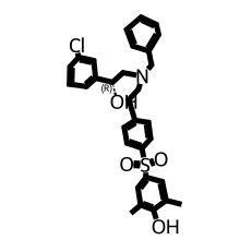 Cc1cc(S(=O)(=O)c2ccc(CCN(Cc3ccccc3)C[C@H](O)c3cccc(Cl)c3)cc2)cc(C)c1O